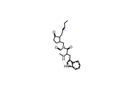 CC/C=C/CC1C(=O)CCC1CN(C=O)C(=O)C(Cc1c[nH]c2ccccc12)NC